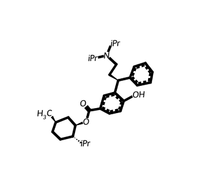 CC(C)[C@@H]1CC[C@@H](C)C[C@H]1OC(=O)c1ccc(O)c([C@@H](CCN(C(C)C)C(C)C)c2ccccc2)c1